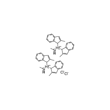 CC1=Cc2ccccc2[CH]1[Hf+]([CH]1C(C)=Cc2ccccc21)[SiH](C)C.CC1=Cc2ccccc2[CH]1[Hf+]([CH]1C(C)=Cc2ccccc21)[SiH](C)C.[Cl-].[Cl-]